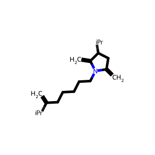 C=C(CCCCCN1C(=C)CC(C(C)C)C1=C)C(C)C